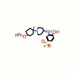 CCCO[C@H]1CC[C@](C)(N2CCC(Nc3cc(S(C)(=O)=O)ccc3O)CC2)CC1